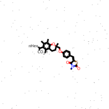 CCCCCCC(C(=O)O)c1c(C)c(C)c2c(c1C)CCC(C)(COc1ccc(C=C3SC(=O)N(C)C3=O)cc1)O2